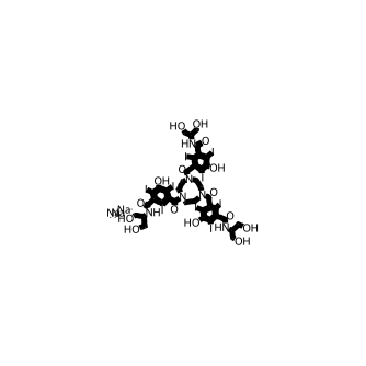 O=C(NC(CO)CO)c1c(I)c(O)c(I)c(C(=O)N2CCN(C(=O)c3c(I)c(O)c(I)c(C(=O)NC(CO)CO)c3I)CCN(C(=O)c3c(I)c(O)c(I)c(C(=O)NC(CO)CO)c3I)CC2)c1I.[Na].[Na].[Na]